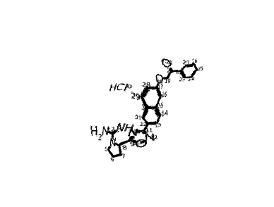 Cl.N=C(N)N1CCCC1c1nc(-c2ccc3cc(OCC(=O)c4ccccc4)ccc3c2)no1